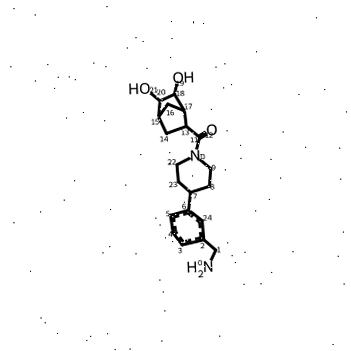 NCc1cccc(C2CCN(C(=O)C3CC4CC3C(O)C4O)CC2)c1